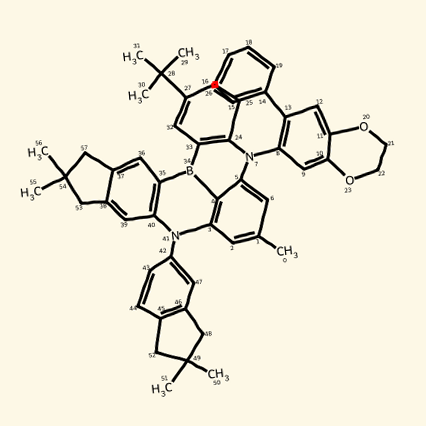 Cc1cc2c3c(c1)N(c1cc4c(cc1-c1ccccc1)OCCO4)c1ccc(C(C)(C)C)cc1B3c1cc3c(cc1N2c1ccc2c(c1)CC(C)(C)C2)CC(C)(C)C3